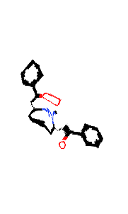 CN1[C@H](CC(=O)c2ccccc2)CC=C[C@@H]1CC(=O)c1ccccc1